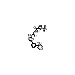 CS(=O)(=O)n1ccc(C(=O)NCC(=O)Nc2nc(-c3cccc(C4(O)CCOCC4)c3)cs2)c1